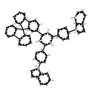 c1ccc2c(c1)-c1ccccc1C21c2ccccc2-c2ccc(-c3nc(-c4ccc(-n5ccc6ccccc65)cc4)nc(-c4ccc(-n5ccc6cccnc65)cc4)n3)cc21